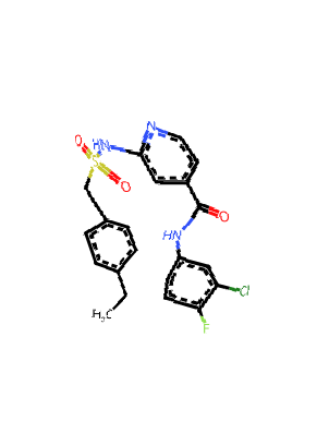 CCc1ccc(CS(=O)(=O)Nc2cc(C(=O)Nc3ccc(F)c(Cl)c3)ccn2)cc1